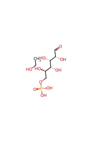 CCO.O=C[C@H](O)[C@@H](O)[C@H](O)[C@H](O)COP(=O)(O)O